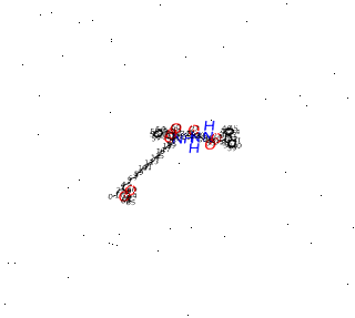 CCC[C@@H](CCCCCCCCCCCCCCCCC(=O)N[C@@H](CCC(=O)NCCNC(=O)OCC1c2ccccc2-c2ccccc21)C(=O)OCc1ccccc1)C(=O)OC(C)(C)C